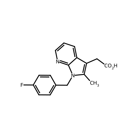 Cc1c(CC(=O)O)c2cccnc2n1Cc1ccc(F)cc1